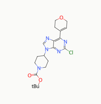 CC(C)(C)OC(=O)N1CCC(n2cnc3c(C4=CCOCC4)nc(Cl)nc32)CC1